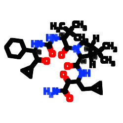 CC(C)(C)[C@H](NC(=O)N[C@H](C(=O)C1CC1)C1CCCCC1)C(=O)N1C[C@H]2[C@@H]([C@H]1C(=O)NC(CC1CC1)C(=O)C(N)=O)C2(C)C